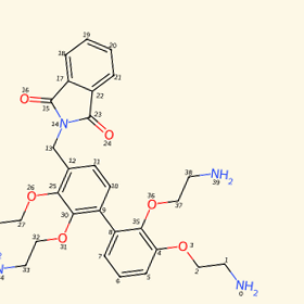 NCCOc1cccc(-c2ccc(CN3C(=O)c4ccccc4C3=O)c(OCCN)c2OCCN)c1OCCN